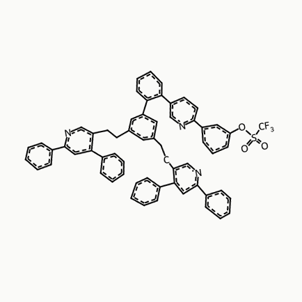 O=S(=O)(Oc1cccc(-c2ccc(-c3ccccc3-c3cc(CCc4cnc(-c5ccccc5)cc4-c4ccccc4)cc(CCc4cnc(-c5ccccc5)cc4-c4ccccc4)c3)cn2)c1)C(F)(F)F